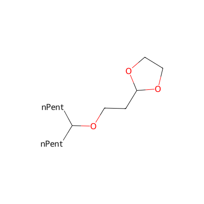 CCCCCC(CCCCC)OCCC1OCCO1